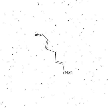 CCCCCCC=CCC=CCCCCCC